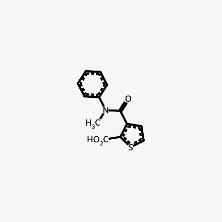 CN(C(=O)c1ccsc1C(=O)O)c1ccccc1